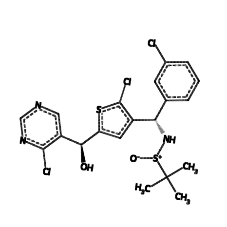 CC(C)(C)[S+]([O-])N[C@@H](c1cccc(Cl)c1)c1cc([C@@H](O)c2cncnc2Cl)sc1Cl